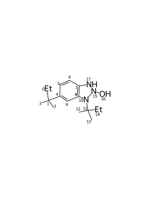 CCC(C)(C)c1ccc2c(c1)N(C(C)(C)CC)N(O)N2